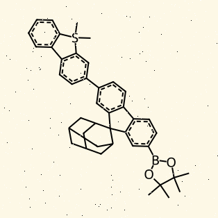 CC1(C)OB(c2ccc3c(c2)C2(c4cc(-c5ccc6c(c5)S(C)(C)c5ccccc5-6)ccc4-3)C3CC4CC(C3)CC2C4)OC1(C)C